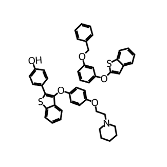 Oc1ccc(-c2sc3ccccc3c2Oc2ccc(OCCN3CCCCC3)cc2)cc1.c1ccc(COc2cccc(Oc3cc4ccccc4s3)c2)cc1